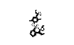 CC=C(C(=O)OC)c1ccccc1COc1cc(C)c(C(=O)CC)cc1C